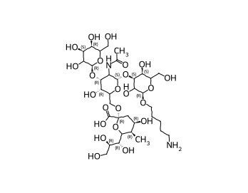 CC(=O)NC1[C@H](O[C@@H]2C(O)[C@H](OCCCCCN)OC(CO)[C@@H]2O)OC(CO[C@]2(C(=O)O)C[C@@H](O)[C@@H](C)C([C@H](O)[C@H](O)CO)O2)[C@H](O)[C@@H]1O[C@@H]1OC(CO)[C@H](O)[C@H](O)C1O